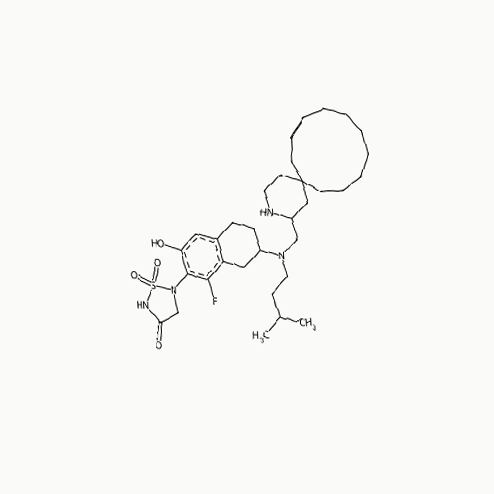 CC(C)CCN(CC1CC2(CCCCCCCCCC2)CCN1)C1CCc2cc(O)c(N3CC(=O)NS3(=O)=O)c(F)c2C1